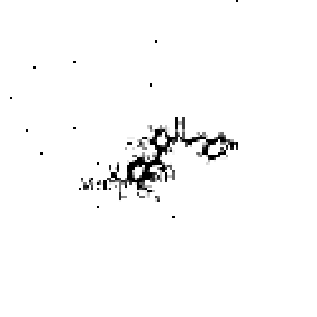 COC(=O)Nc1ccc2c(-c3nc(NCC[C@@H]4CCCNC4)ncc3C(F)(F)F)c[nH]c2c1C(F)(F)F